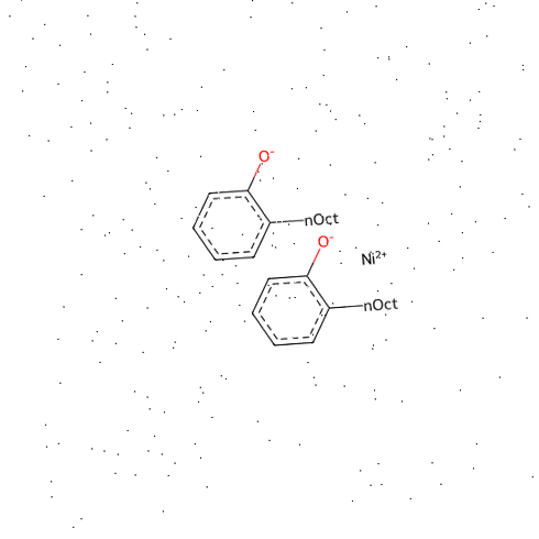 CCCCCCCCc1ccccc1[O-].CCCCCCCCc1ccccc1[O-].[Ni+2]